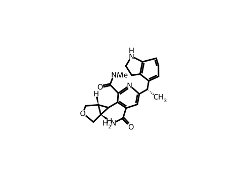 CNC(=O)c1nc([C@@H](C)c2cccc3c2CCN3)cc(C(N)=O)c1C1[C@H]2COC[C@@H]12